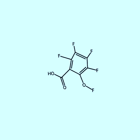 O=C(O)c1c(F)c(F)c(F)c(F)c1OF